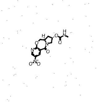 CNC(=O)O[C@H]1C[C@@H]2COc3ncc([N+](=O)[O-])cc3C(=O)N2C1